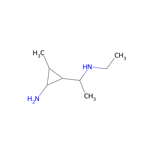 CCNC(C)C1C(C)C1N